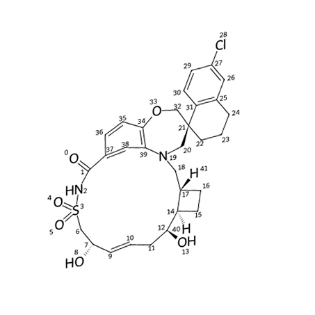 O=C1NS(=O)(=O)C[C@@H](O)/C=C/C[C@H](O)[C@@H]2CC[C@H]2CN2C[C@@]3(CCCc4cc(Cl)ccc43)COc3ccc1cc32